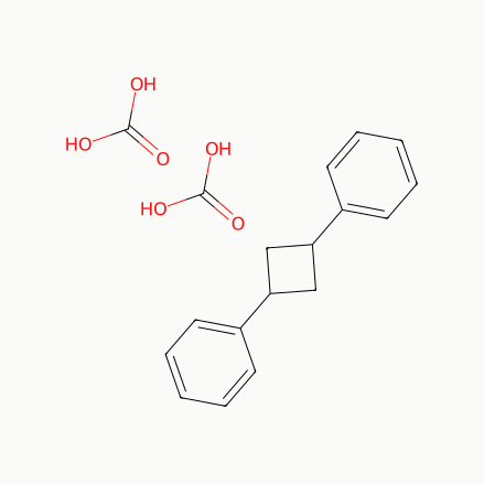 O=C(O)O.O=C(O)O.c1ccc(C2CC(c3ccccc3)C2)cc1